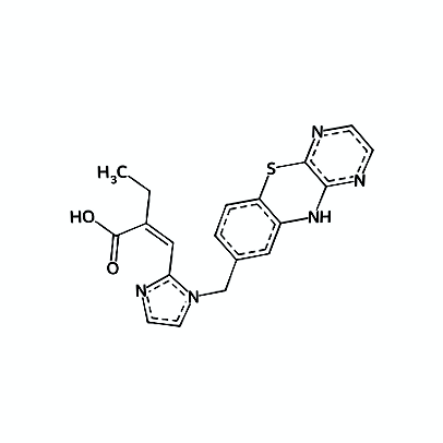 CCC(=Cc1nccn1Cc1ccc2c(c1)Nc1nccnc1S2)C(=O)O